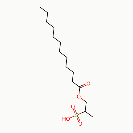 CCCCCCCCCCCC(=O)OCC(C)S(=O)(=O)O